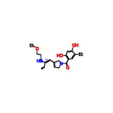 C=C/C(=C\C1=CCN(C(=O)c2cc(CC)c(O)cc2O)C1)NCCOCC